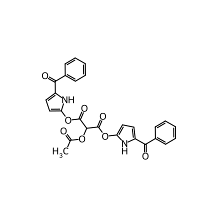 CC(=O)OC(C(=O)Oc1ccc(C(=O)c2ccccc2)[nH]1)C(=O)Oc1ccc(C(=O)c2ccccc2)[nH]1